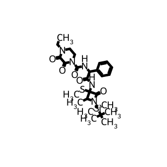 CCN1CCN(C(=O)NC(C(=O)NC2(SC)C(=O)N([Si](C)(C)C(C)(C)C)C2C)c2ccccc2)C(=O)C1=O